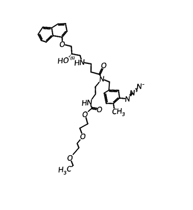 CCOCCOCCOC(=O)NCCN(Cc1ccc(C)c(N=[N+]=[N-])c1)C(=O)CCNC[C@H](O)COc1cccc2ccccc12